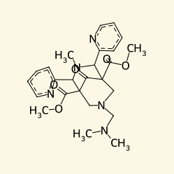 COC(=O)C12CN(CN(C)C)CC(C(=O)OC)(C1=O)C(c1ccccn1)N(C)C2c1ccccn1